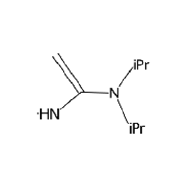 C=C([NH])N(C(C)C)C(C)C